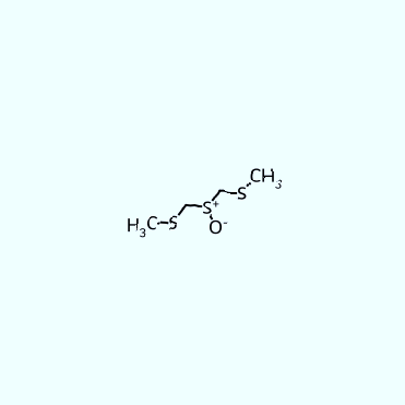 CSC[S+]([O-])CSC